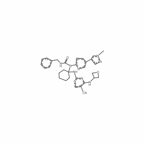 Cn1cc(-c2ccc(N(C(=O)NCc3ccccc3)C3(Nc4ncc(C#N)c(NC5COC5)n4)CCCCC3)nc2)cn1